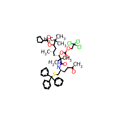 CC(=O)CC[C@@H](CSC(c1ccccc1)(c1ccccc1)c1ccccc1)NC(=O)C(C)(C)[C@H](C[C@H](C)CC(OC(=O)C1CCCC1)C(C)(C)C)OC(=O)OCC(Cl)(Cl)Cl